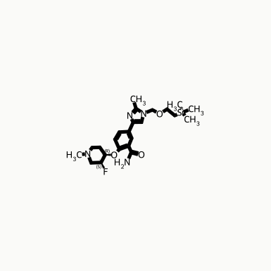 Cc1nc(-c2ccc(O[C@@H]3CCN(C)C[C@@H]3F)c(C(N)=O)c2)cn1COCC[Si](C)(C)C